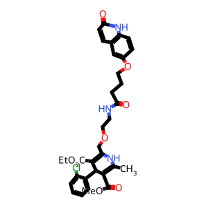 CCOC(=O)C1=C(COCCNC(=O)CCCOc2ccc3[nH]c(=O)ccc3c2)NC(C)=C(C(=O)OC)C1c1ccccc1Cl